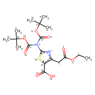 CCOC(=O)Cc1nc(N(C(=O)OC(C)(C)C)C(=O)OC(C)(C)C)sc1C(=O)O